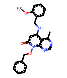 Cc1ncnc2c1c(NCc1ccccc1OC(F)(F)F)cc(=O)n2OCc1ccccc1